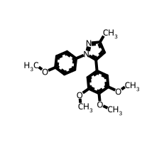 COc1ccc(-n2nc(C)cc2-c2cc(OC)c(OC)c(OC)c2)cc1